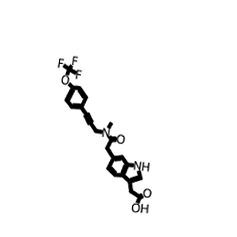 CN(CC#Cc1ccc(OC(F)(F)F)cc1)C(=O)Cc1ccc2c(CC(=O)O)c[nH]c2c1